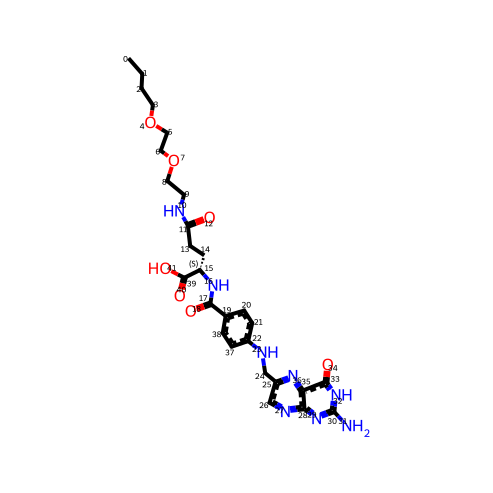 CCCCOCCOCCNC(=O)CC[C@H](NC(=O)c1ccc(NCc2cnc3nc(N)[nH]c(=O)c3n2)cc1)C(=O)O